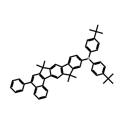 CC(C)(C)c1ccc(N(c2ccc(C(C)(C)C)cc2)c2ccc3c(c2)C(C)(C)c2cc4c(cc2-3)C(C)(C)c2cc(-c3ccccc3)c3ccccc3c2-4)cc1